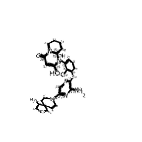 Nc1nc(N2CCC3(CC2)COCC3N)cnc1Sc1cccc(N2C(O)=CC(=O)N3CCCC[C@H]32)c1Cl